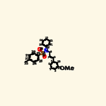 COc1cccc(/C=C/CN(c2ccccc2)S(=O)(=O)c2ccc(C)cc2)c1